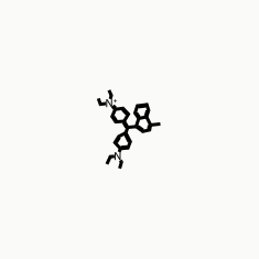 CCN(CC)c1ccc(C(=C2C=CC(=[N+](CC)CC)C=C2)c2ccc(C)c3ccccc23)cc1